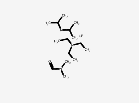 CC(C)[N-]C(C)C.CCN(CC)CC.CN(C)C=O.[Li+]